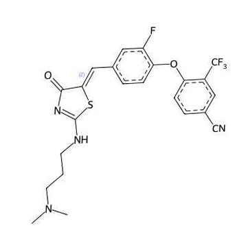 CN(C)CCCNC1=NC(=O)/C(=C/c2ccc(Oc3ccc(C#N)cc3C(F)(F)F)c(F)c2)S1